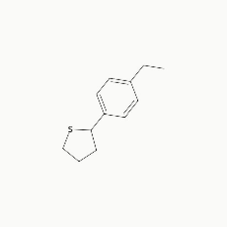 CCc1ccc(C2CCCS2)cc1